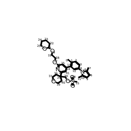 Cc1ccc(-n2c(C)ccc2C)cc1-c1cc(OCCOC2CCCCO2)nc(C2(COS(C)(=O)=O)CCOCC2)c1